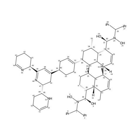 CC(C)C(C(C)C)N(O)[C@H](O)[C@@H]1CC[C@H]2C3[C@@H]1C(C)C=C[C@H]3[C@H]1C=C[C@@H]([C@@H](O)N(O)C(C(C)C)C(C)C)C3C1C2[C@H](C1=CC[C@H](C2=CC([C@@H]4CCCC=N4)=NC([C@H]4CCC=CN4)C2)CC1)C[C@@H]3C